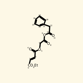 CCOC(=O)/C=C/C(=O)OCC(=O)OC(=O)Cc1ccccc1